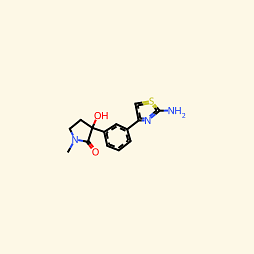 CN1CCC(O)(c2cccc(-c3csc(N)n3)c2)C1=O